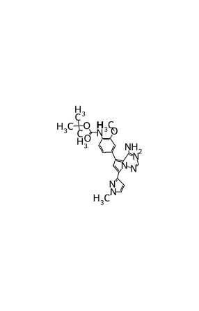 COc1cc(-c2cc(-c3ccn(C)n3)n3ncnc(N)c23)ccc1NC(=O)OC(C)(C)C